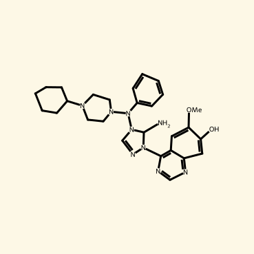 COc1cc2c(N3N=CN(N(c4ccccc4)N4CCN(C5CCCCC5)CC4)C3N)ncnc2cc1O